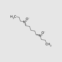 CCC[N+]([O-])=CCCCC=[N+]([O-])CCC